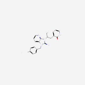 Cc1ccc(Cn2c(=N)n(C(CO)Cc3ccc[nH]c3=O)c3ncccc32)cc1